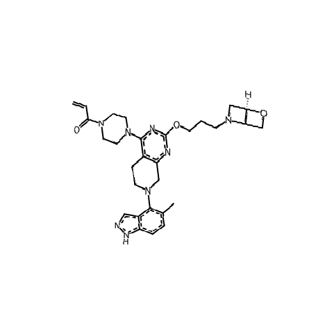 C=CC(=O)N1CCN(c2nc(OCCCN3C[C@H]4OCC43)nc3c2CCN(c2c(C)ccc4[nH]ncc24)C3)CC1